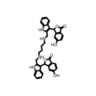 O=C1OC(c2c(CNCCCCNCc3[nH]c4ccccc4c3C3OC(=O)c4ccc(O)cc43)[nH]c3ccccc23)c2cc(O)ccc21